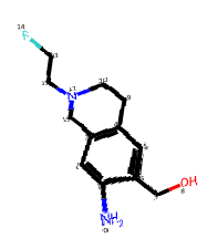 Nc1cc2c(cc1CO)CCN(CCF)C2